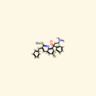 COc1nc2c(C(O)(CCN(C)C)c3ccccc3)cc(Br)cc2cc1Cc1ccccc1